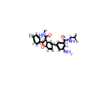 CNC(=O)c1c(-c2ccc(F)cc2)oc2ccc(-c3cc(N)cc(C(=O)NCC(C)C)c3)cc12